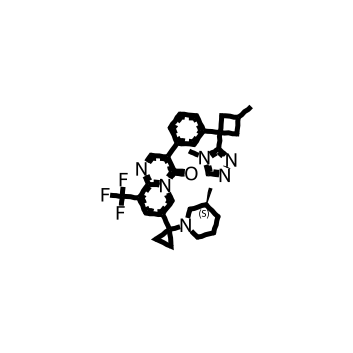 CC1CC(c2cccc(-c3cnc4c(C(F)(F)F)cc(C5(N6CCC[C@H](C)C6)CC5)cn4c3=O)c2)(c2nncn2C)C1